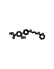 O=C(O)N1CC[C@H](c2ccc(OCCCO[C@@H]3CCCCO3)cc2)[C@@H](O)C1